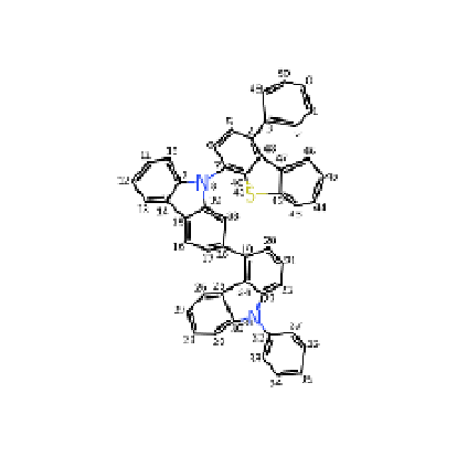 c1ccc(-c2ccc(-n3c4ccccc4c4ccc(-c5cccc6c5c5ccccc5n6-c5ccccc5)cc43)c3sc4ccccc4c23)cc1